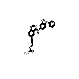 CC(=O)OCC#Cc1ccc2ncnc(Nc3ccc(Oc4cccnc4)c(C)c3)c2c1